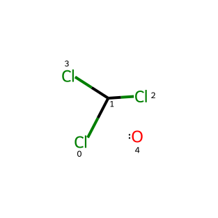 ClC(Cl)Cl.[O]